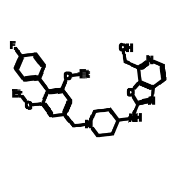 CCOc1cc(CN2CCC(Nc3nc4ccnc(CO)c4o3)CC2)cc(OCC)c1-c1ccc(F)cc1